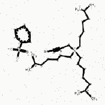 CC(C)CCCCC[N+](CC#CBr)(CCCCCC(C)C)CCCCCC(C)C.O=S(=O)([O-])c1ccccc1